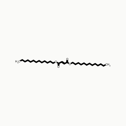 CCCCCCCCCCCCCOC(=O)C=CC(=O)OCCCCCCCCCCCCC